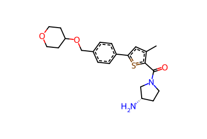 Cc1cc(-c2ccc(COC3CCOCC3)cc2)sc1C(=O)N1CC[C@H](N)C1